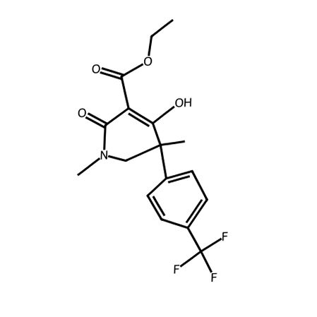 CCOC(=O)C1=C(O)C(C)(c2ccc(C(F)(F)F)cc2)CN(C)C1=O